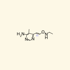 CCNO/C=C/c1ncnc(N)c1C